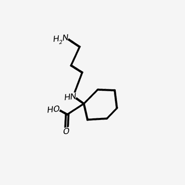 NCCCNC1(C(=O)O)CCCCC1